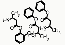 CC(S)CC(=O)Oc1ccccc1.CC(S)CC(=O)Oc1ccccc1.Cc1ccccc1OC(=O)CC(C)S